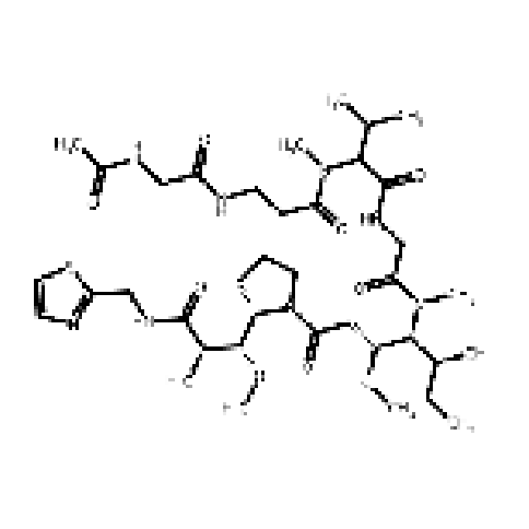 CC[C@H](C)[C@@H]([C@@H](CC(=O)N1CCC[C@H]1[C@H](OC)[C@@H](C)C(=O)NCc1nccs1)OC)N(C)C(=O)CNC(=O)C(C(C)C)N(C)C(=O)CCNC(=O)CNC(C)=O